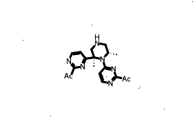 CC(=O)c1nccc(N2[C@@H](C)CNC[C@]2(C)c2ccnc(C(C)=O)n2)n1